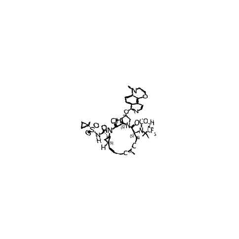 C[C@H]1CCC=C[C@@H]2C[C@@]2(C(=O)NS(=O)(=O)C2(C)CC2)NC(=O)[C@@H]2C[C@@H](Oc3nccc4c5c(ccc34)N(C)CCO5)CN2C(=O)[C@@H](N(C(=O)O)C(C)(C)C(F)(F)F)[C@H](C)C1